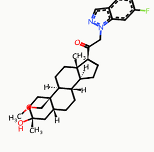 COC[C@]12CC[C@@](C)(O)C[C@H]1CC[C@H]1[C@@H]3CC[C@H](C(=O)Cn4ncc5ccc(F)cc54)[C@@]3(C)CC[C@@H]12